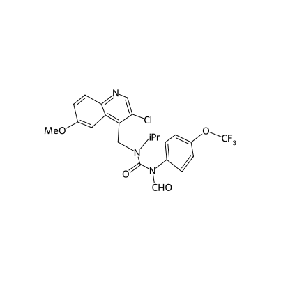 COc1ccc2ncc(Cl)c(CN(C(=O)N(C=O)c3ccc(OC(F)(F)F)cc3)C(C)C)c2c1